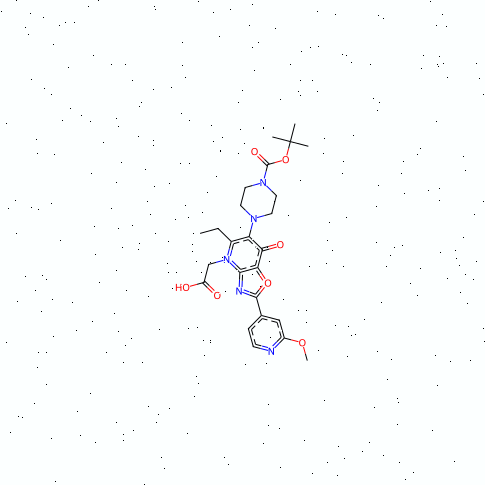 CCc1c(N2CCN(C(=O)OC(C)(C)C)CC2)c(=O)c2oc(-c3ccnc(OC)c3)nc2n1CC(=O)O